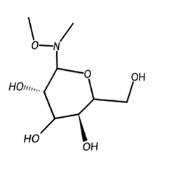 CON(C)C1OC(CO)[C@@H](O)C(O)[C@@H]1O